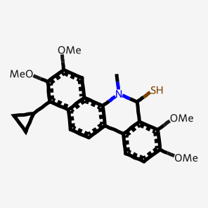 COc1ccc2c(c1OC)C(S)N(C)c1c-2ccc2c(C3CC3)c(OC)c(OC)cc12